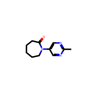 Cc1ncc(N2CCCCCC2=O)cn1